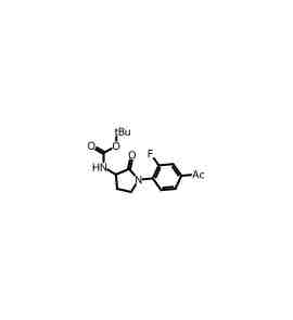 CC(=O)c1ccc(N2CCC(NC(=O)OC(C)(C)C)C2=O)c(F)c1